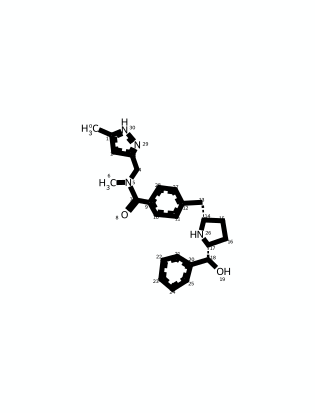 Cc1cc(CN(C)C(=O)c2ccc(C[C@@H]3CC[C@H](C(O)c4ccccc4)N3)cc2)n[nH]1